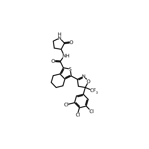 O=C(NC1CCNC1=O)c1sc(C2=NOC(c3cc(Cl)c(Cl)c(Cl)c3)(C(F)(F)F)C2)c2c1CCCC2